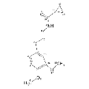 COc1ccc(CCCNC(=O)C2CC2)cc1OC